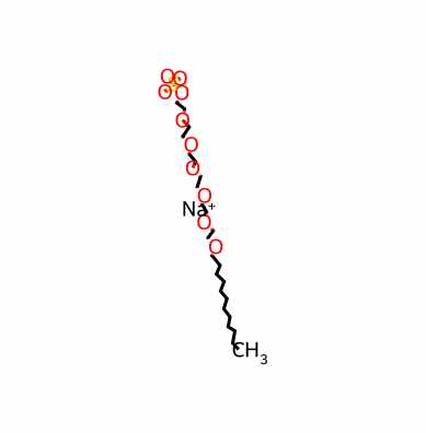 CCCCCCCCCCCCOCCOCCOCCOCCOCCOCCOS(=O)(=O)[O-].[Na+]